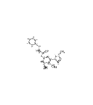 Cc1cc(-c2nc(CC(=O)NCc3ccccc3)nc(O)c2O)no1